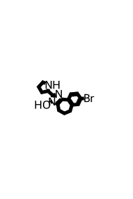 On1c(C2CCCN2)nc2c1CCCc1cc(Br)ccc1-2